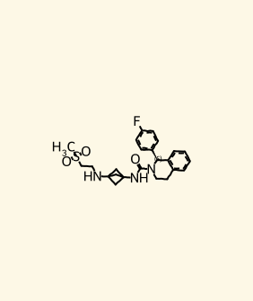 CS(=O)(=O)CCNC12CC(NC(=O)N3CCc4ccccc4[C@@H]3c3ccc(F)cc3)(C1)C2